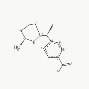 C=C(C)c1ccc([C@H](C)N2CCC[C@H](O)C2)cn1